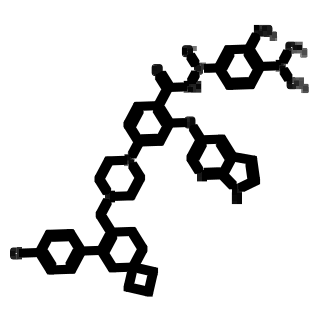 CN(C)c1ccc([S+]([O-])NC(=O)c2ccc(N3CCN(CC4=C(c5ccc(Cl)cc5)CC5(CCC5)CC4)CC3)cc2Oc2cnc3[nH]ccc3c2)cc1[N+](=O)[O-]